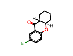 O=C1c2cc(Br)ccc2O[C@@H]2CCCC[C@@H]12